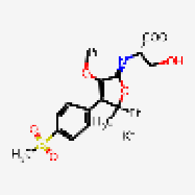 CC[C@]1(C)OC(=N[C@@H](CO)C(=O)[O-])C(OC(C)C)=C1c1ccc(S(C)(=O)=O)cc1.[K+]